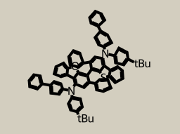 CC(C)(C)c1ccc(N(c2ccc(-c3ccccc3)cc2)c2cc(-c3ccccc3)c(-c3c(-c4ccccc4)cc(N(c4ccc(-c5ccccc5)cc4)c4ccc(C(C)(C)C)cc4)c4c3sc3ccccc34)c3oc4ccccc4c23)cc1